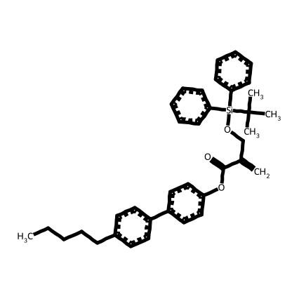 C=C(CO[Si](c1ccccc1)(c1ccccc1)C(C)(C)C)C(=O)Oc1ccc(-c2ccc(CCCCC)cc2)cc1